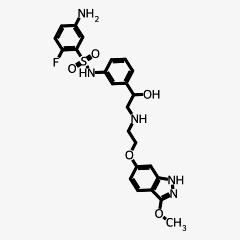 COc1n[nH]c2cc(OCCNCC(O)c3cccc(NS(=O)(=O)c4cc(N)ccc4F)c3)ccc12